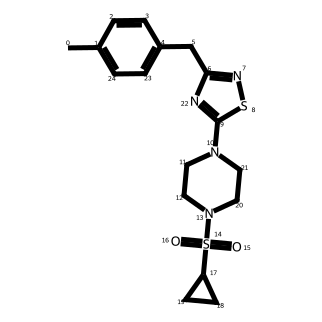 Cc1ccc(Cc2nsc(N3CCN(S(=O)(=O)C4CC4)CC3)n2)cc1